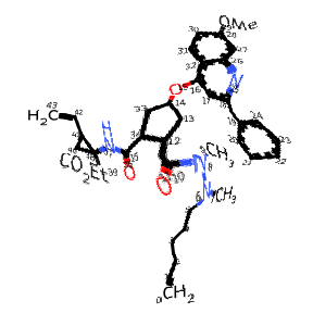 C=CCCCCN(C)N(C)C(=O)C1CC(Oc2cc(-c3ccccc3)nc3cc(OC)ccc23)CC1C(=O)NC1(C(=O)OCC)CC1C=C